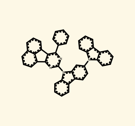 c1ccc(-c2nc(-n3c4ccccc4c4ccc(-n5c6ccccc6c6ccccc65)cc43)nc3c2-c2cccc4cccc-3c24)cc1